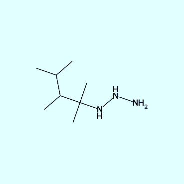 CC(C)C(C)C(C)(C)NNN